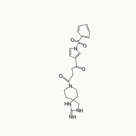 N=C1NCC2(CCN(C(=O)CCC(=O)c3ccn(S(=O)(=O)c4ccccc4)c3)CC2)N1